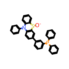 [O-][S+]1c2ccccc2N(c2ccccc2)c2ccc(-c3cccc(P(c4ccccc4)c4ccccc4)c3)cc21